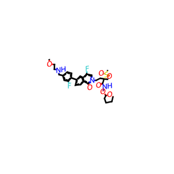 COCCNCc1ccc(-c2ccc3c(=O)n(CCC(C)(C(=O)NOC4CCCCO4)S(C)(=O)=O)cc(F)c3c2)c(F)c1